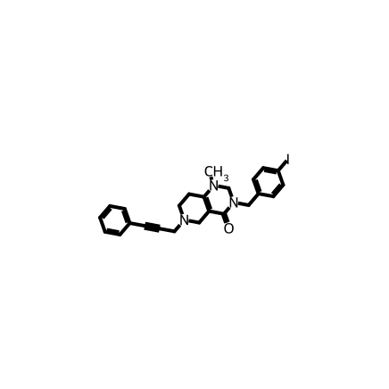 CN1CN(Cc2ccc(I)cc2)C(=O)C2=C1CCN(CC#Cc1ccccc1)C2